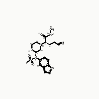 CS(=O)(=O)N(c1ccc2sccc2c1)[C@@H]1CN([C@H](CCC=O)C(=O)NO)CCO1